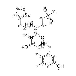 Cc1cc(O)cc(C)c1C[C@H](N)C(=O)N(CCCc1cccs1)C(=O)C(N)CCS(C)(=O)=O